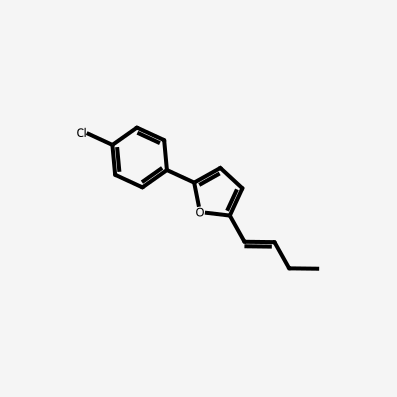 CC/C=C/c1ccc(-c2ccc(Cl)cc2)o1